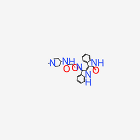 CN1CCC(NC(=O)CO/N=C2/C(=C3/C(=O)Nc4ccccc43)Nc3ccccc32)CC1